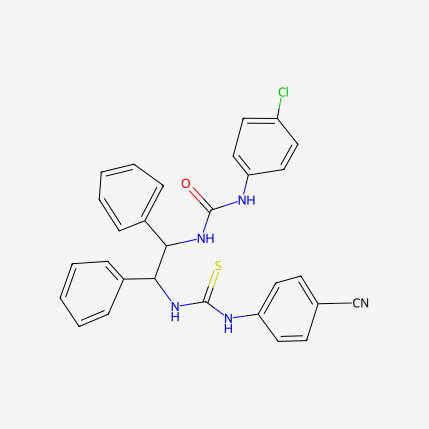 N#Cc1ccc(NC(=S)NC(c2ccccc2)C(NC(=O)Nc2ccc(Cl)cc2)c2ccccc2)cc1